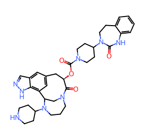 O=C(O[C@@H]1Cc2cc(c3[nH]ncc3c2)C2CN(CCCN2C2CCNCC2)C1=O)N1CCC(N2CCc3ccccc3NC2=O)CC1